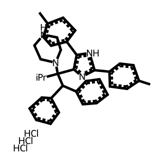 Cc1ccc(-c2nc(C(C(C)C)(C(c3ccccc3)c3ccccc3)N3CCNCC3)c(-c3ccc(C)cc3)[nH]2)cc1.Cl.Cl.Cl